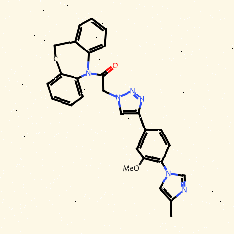 COc1cc(-c2cn(CC(=O)N3c4ccccc4CCc4ccccc43)nn2)ccc1-n1cnc(C)c1